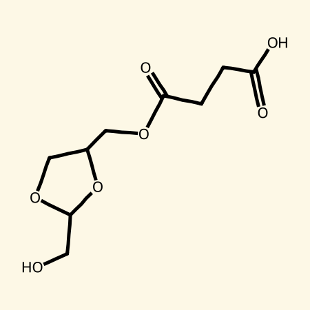 O=C(O)CCC(=O)OCC1COC(CO)O1